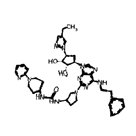 CCc1cnn([C@H]2C[C@@H](n3cnc4c(NCCc5ccccc5)nc(N5CC[C@@H](NC(=O)NC6CCN(c7ccccn7)CC6)C5)nc43)[C@H](O)[C@@H]2O)c1